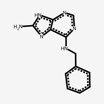 Nc1nc2c(NCc3ccccc3)ncnc2[nH]1